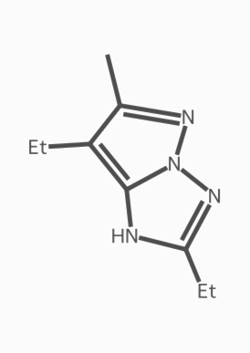 CCc1nn2nc(C)c(CC)c2[nH]1